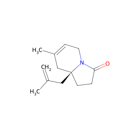 C=C(C)C[C@]12CCC(=O)N1CC=C(C)C2